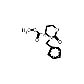 COC(=O)[C@@H]1CCOC(=O)N1Cc1ccccc1